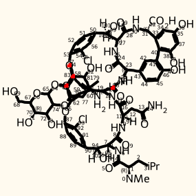 CN[C@H](CC(C)C)C(=O)N[C@H]1C(=O)N[C@@H](CC(N)=O)C(=O)N[C@H]2C(=O)N[C@H]3C(=O)N[C@H](C(=O)N[C@H](C(=O)O)c4cc(O)cc(O)c4-c4cc3ccc4O)[C@H](O)c3ccc(c(Cl)c3)Oc3cc2cc(c3OC2OC(CO)[C@H](O)C(O)C2OC2CC(C)(N)C(O)C(C)O2)Oc2ccc(cc2Cl)[C@H]1O